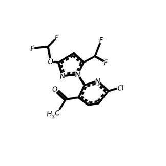 CC(=O)c1ccc(Cl)nc1-n1nc(OC(F)F)cc1C(F)F